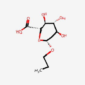 CCCO[C@@H]1O[C@H](C(=O)O)[C@@H](O)[C@H](O)[C@H]1O